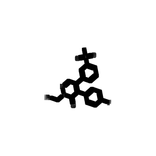 CC(C)Cn1ncc(-c2cccc(S(C)(=O)=O)c2)c(-c2ccc(F)cc2)c1=O